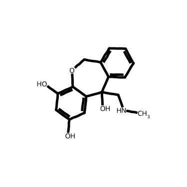 CNCC1(O)c2ccccc2COc2c(O)cc(O)cc21